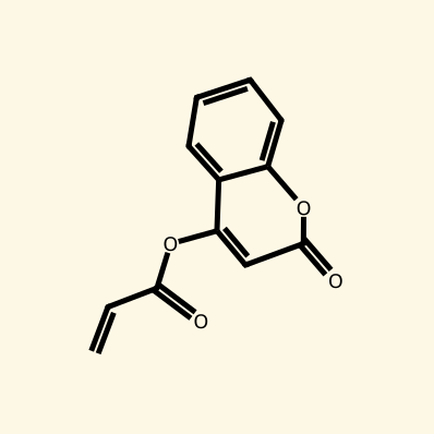 C=CC(=O)Oc1cc(=O)oc2ccccc12